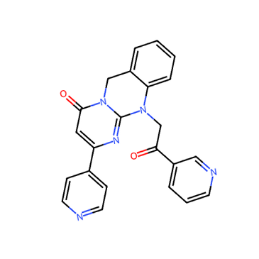 O=C(CN1c2ccccc2Cn2c1nc(-c1ccncc1)cc2=O)c1cccnc1